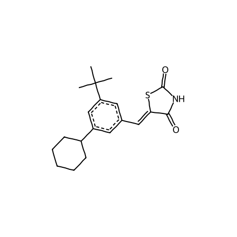 CC(C)(C)c1cc(/C=C2\SC(=O)NC2=O)cc(C2CCCCC2)c1